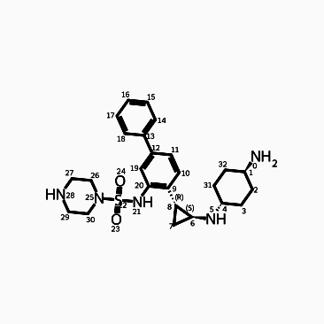 N[C@H]1CC[C@H](N[C@H]2C[C@@H]2c2ccc(-c3ccccc3)cc2NS(=O)(=O)N2CCNCC2)CC1